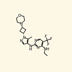 CCNc1nc(Nc2cnn([C@H]3C[C@H](N4CCOCC4)C3)c2C)ncc1C(F)(F)F